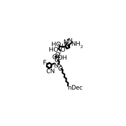 CCCCCCCCCCCCCCCCCCOC[C@H](COP(=O)(O)OC[C@H]1O[C@@](C)(c2ccc3c(N)ncnn23)[C@H](O)[C@@H]1O)N(C)Cc1cc(F)cc(C#N)c1